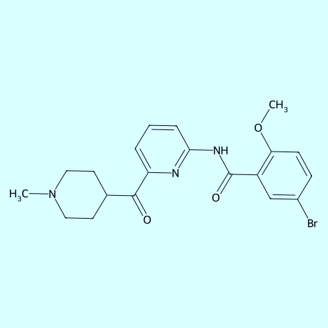 COc1ccc(Br)cc1C(=O)Nc1cccc(C(=O)C2CCN(C)CC2)n1